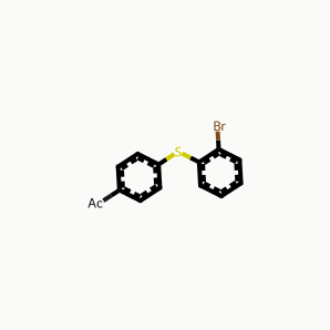 CC(=O)c1ccc(Sc2ccccc2Br)cc1